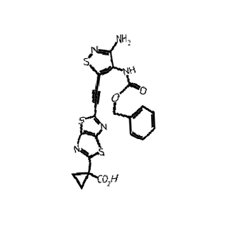 Nc1nsc(C#Cc2nc3sc(C4(C(=O)O)CC4)nc3s2)c1NC(=O)OCc1ccccc1